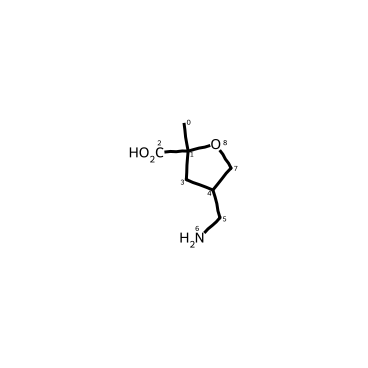 CC1(C(=O)O)CC(CN)CO1